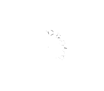 Cl.O=C(NC[C@H]1CCNC1)C1CCN(c2nc(-c3ccc(Cl)cc3)no2)CC1